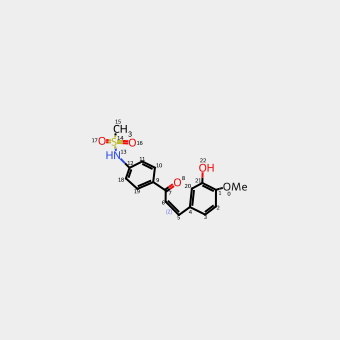 COc1ccc(/C=C\C(=O)c2ccc(NS(C)(=O)=O)cc2)cc1O